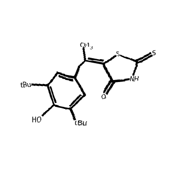 C/C(=C1\SC(=S)NC1=O)c1cc(C(C)(C)C)c(O)c(C(C)(C)C)c1